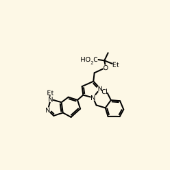 CCn1ncc2ccc(-c3cc(COC(C)(CC)C(=O)O)nn3Cc3ccccc3Cl)cc21